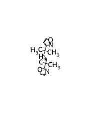 CC(C)(CCC(C)(C)c1ncco1)c1ccon1